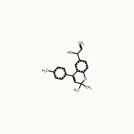 C=CC(O)c1ccc2c(c1)C(c1ccc(C)cc1)=CC(C)(C)O2